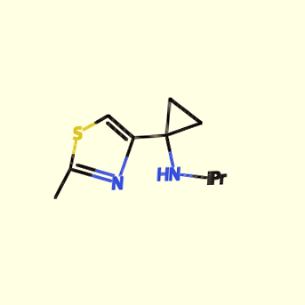 Cc1nc(C2(NC(C)C)CC2)cs1